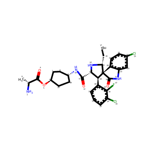 C[C@@H](N)C(=O)O[C@H]1CC[C@H](NC(=O)[C@@H]2N[C@H](CC(C)(C)C)[C@]3(C(=O)Nc4cc(Cl)ccc43)[C@H]2c2cccc(Cl)c2F)CC1